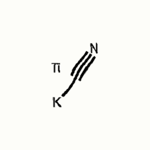 N#[C][K].[Ti]